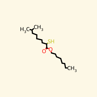 CCCCCCCCOC(=O)C(S)CCCCCC(C)C